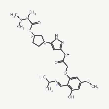 COc1cc(O)c(/C=N/C(C)C)c(OCC(=O)Nc2cc([C@H]3CC[C@@H](OC(=O)N(C)N(C)C)C3)[nH]n2)c1